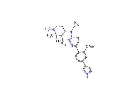 COc1cc(-c2cn[nH]c2)ccc1-c1ccc(N(C2CC2)C2CCN(C)C(C)(C)C2C)nn1